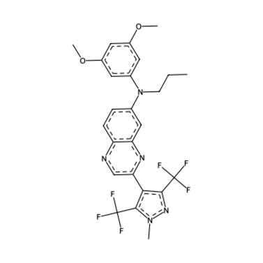 CCCN(c1cc(OC)cc(OC)c1)c1ccc2ncc(-c3c(C(F)(F)F)nn(C)c3C(F)(F)F)nc2c1